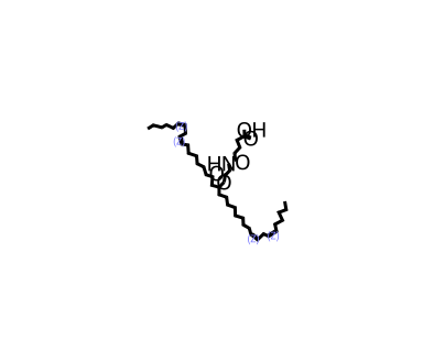 CCCCC/C=C\C/C=C\CCCCCCCCC(CCCCCCCC/C=C\C/C=C\CCCCC)OC(=O)CNC(=O)CCCC(=O)O